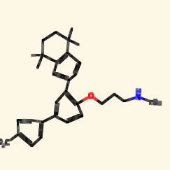 CCCCNCCCOc1ccc(-c2ccc(C(=O)OCC)cc2)cc1-c1ccc2c(c1)C(C)(C)CCC2(C)C